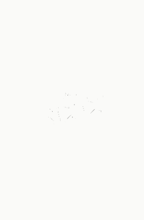 CCn1ccc2c(C)c(Oc3cc(Cl)c(F)cc3CCN)ccc21